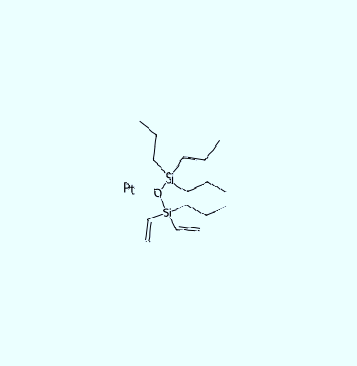 C=C[Si](C=C)(CCC)O[Si](CCC)(CCC)CCC.[Pt]